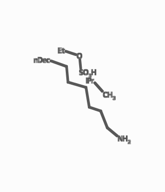 CC(C)C.CCCCCCCCCCCCCCCCN.CCOS(=O)(=O)O